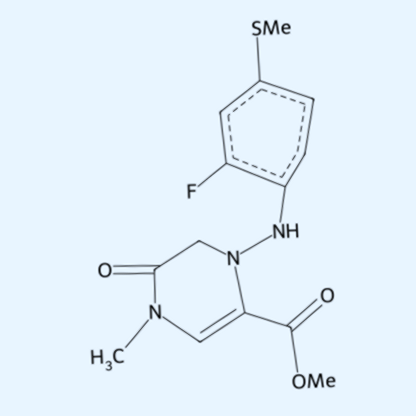 COC(=O)C1=CN(C)C(=O)CN1Nc1ccc(SC)cc1F